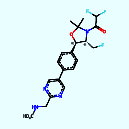 CC1(C)O[C@H](c2ccc(-c3cnc(CNC(=O)O)nc3)cc2)[C@@H](CF)N1C(=O)C(F)F